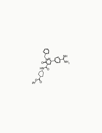 CC(C)OC(=O)[C@H]1CC[C@H](NC(=O)c2cc(-c3ccc(C(=N)N)cc3)nn(Cc3ccccc3)c2=O)CC1